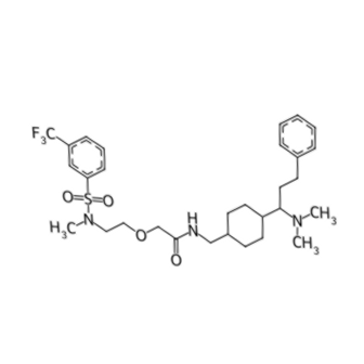 CN(C)C(CCc1ccccc1)C1CCC(CNC(=O)COCCN(C)S(=O)(=O)c2cccc(C(F)(F)F)c2)CC1